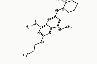 CCCNc1nc(NC)c2nc(N[C@@H]3CCCC[C@H]3O)nc(NC)c2n1